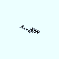 [2H]C(C1CCCC1OCCCCCC(=O)O)N(C(=O)c1ccc(-c2ccco2)cc1)C(C)C